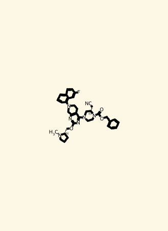 CN1CCC[C@H]1COc1nc2c(c(N3CCN(C(=O)OCc4ccccc4)[C@@H](CC#N)C3)n1)CCN(c1cccc3ccc(F)cc13)C2